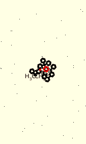 CC1(C)c2ccccc2-c2ccc(N(c3cccc4c3-c3ccccc3C4(c3ccccc3)c3ccccc3)c3ccc4cccc5c4c3Oc3c-5cccc3N(c3ccccc3)c3ccccc3)cc21